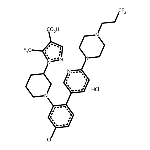 Cl.O=C(O)c1cnn(C2CCCN(c3cc(Cl)ccc3-c3ccc(N4CCN(CCC(F)(F)F)CC4)nc3)C2)c1C(F)(F)F